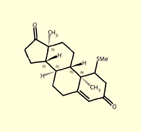 CSC1CC(=O)C=C2CC[C@H]3[C@@H]4CCC(=O)[C@@]4(C)CC[C@@H]3[C@]21C